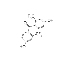 O=C(c1ccc(O)cc1C(F)(F)F)c1ccc(O)cc1C(F)(F)F